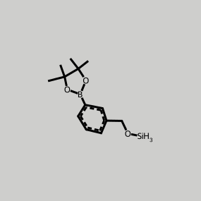 CC1(C)OB(c2cccc(CO[SiH3])c2)OC1(C)C